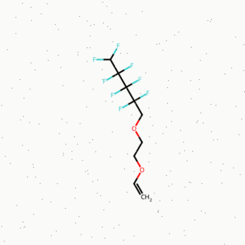 C=COCCOCC(F)(F)C(F)(F)C(F)(F)C(F)F